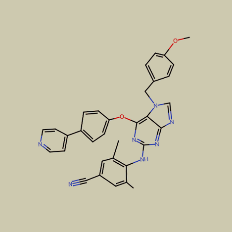 COc1ccc(Cn2cnc3nc(Nc4c(C)cc(C#N)cc4C)nc(Oc4ccc(-c5ccncc5)cc4)c32)cc1